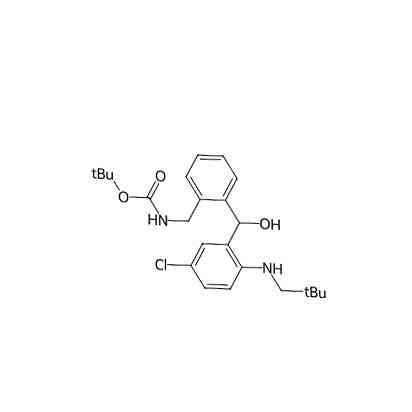 CC(C)(C)CNc1ccc(Cl)cc1C(O)c1ccccc1CNC(=O)OC(C)(C)C